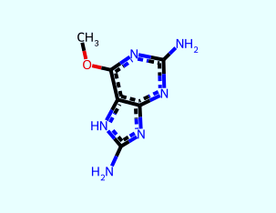 COc1nc(N)nc2nc(N)[nH]c12